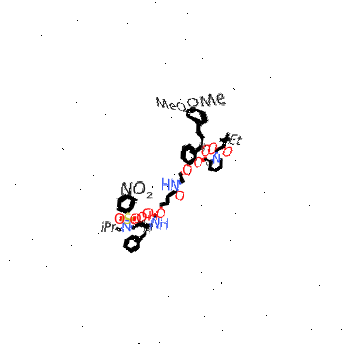 CCC(C)(C)C(=O)C(=O)N1CCCC[C@H]1C(=O)O[C@H](CCc1ccc(OC)c(OC)c1)c1cccc(OCCNC(=O)CCCOC(=O)N[C@@H](Cc2ccccc2)[C@H](O)CN(CC(C)C)S(=O)(=O)c2ccc([N+](=O)[O-])cc2)c1